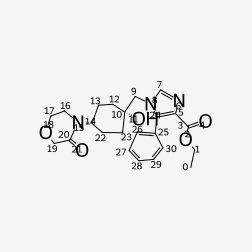 CCOC(=O)c1ncn(C[C@]2(O)CC[C@@H](N3CCOCC3=O)CC2)c1-c1ccccc1